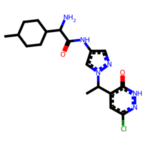 CC1CCC(C(N)C(=O)Nc2cnn(C(C)c3cc(Cl)n[nH]c3=O)c2)CC1